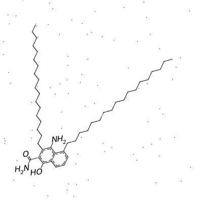 CCCCCCCCCCCCCCCCCCc1c(C(N)=O)c(O)c2cccc(CCCCCCCCCCCCCCCCCC)c2c1N